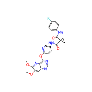 COc1cc2ncnc(Oc3ccc(NC(=O)C4(C(=O)Nc5ccc(F)cc5)CC4)cn3)c2nc1OC